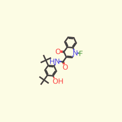 CC(C)(C)c1cc(C(C)(C)C)c(NC(=O)c2cn(F)c3ccccc3c2=O)cc1O